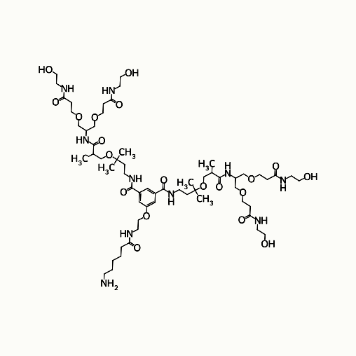 CC(COC(C)(C)CCNC(=O)c1cc(OCCNC(=O)CCCCCN)cc(C(=O)NCCC(C)(C)OCC(C)C(=O)NC(COCCC(=O)NCCO)COCCC(=O)NCCO)c1)C(=O)NC(COCCC(=O)NCCO)COCCC(=O)NCCO